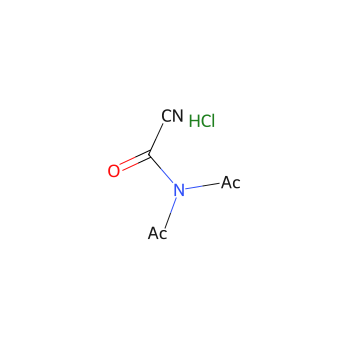 CC(=O)N(C(C)=O)C(=O)C#N.Cl